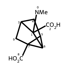 CNC1(C(=O)O)C2CC3C1C3(C(=O)O)C2